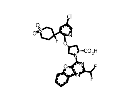 O=C(O)[C@@H]1C[C@H](Oc2ncc(Cl)cc2C2(F)CCS(=O)(=O)CC2)CN1c1nc(C(F)F)nc2c1oc1ccccc12